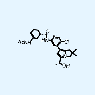 CC(=O)NC1=CCC[C@H](C(=O)Nc2cc(-c3cc([C@@H](C)O)n4c3CC(C)(C)C4)c(Cl)cn2)C1